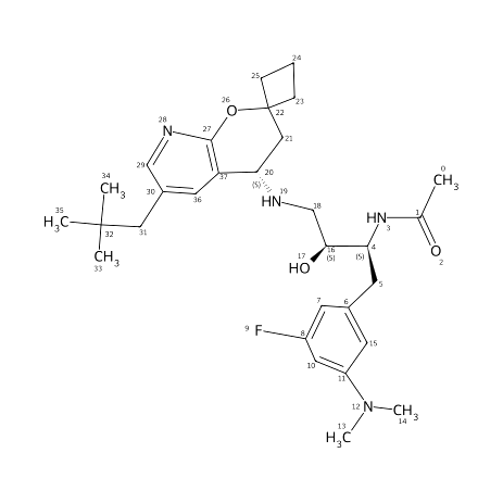 CC(=O)N[C@@H](Cc1cc(F)cc(N(C)C)c1)[C@@H](O)CN[C@H]1CC2(CCC2)Oc2ncc(CC(C)(C)C)cc21